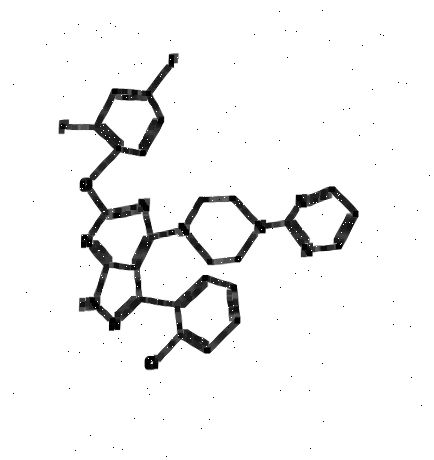 Fc1ccc(Oc2nc(N3CCN(c4ncccn4)CC3)c3c(-c4ccccc4Cl)n[nH]c3n2)c(F)c1